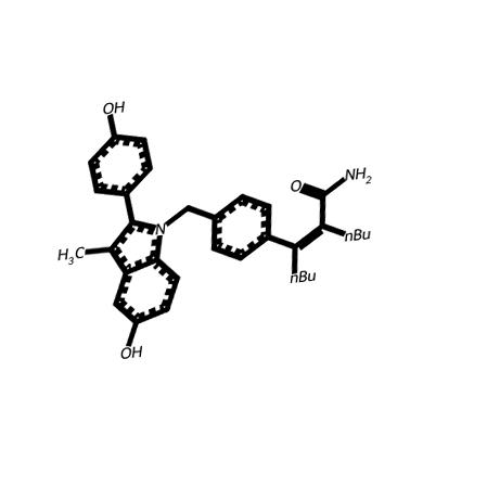 CCCCC(C(N)=O)=C(CCCC)c1ccc(Cn2c(-c3ccc(O)cc3)c(C)c3cc(O)ccc32)cc1